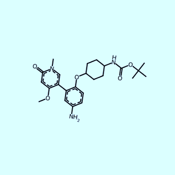 COc1cc(=O)n(C)cc1-c1cc(N)ccc1OC1CCC(NC(=O)OC(C)(C)C)CC1